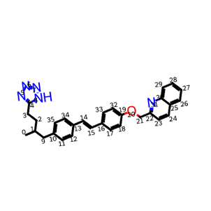 CC(CCc1nnn[nH]1)Cc1ccc(C=Cc2ccc(OCc3ccc4ccccc4n3)cc2)cc1